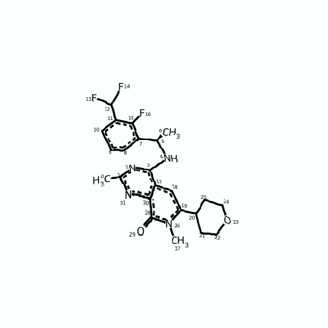 Cc1nc(N[C@H](C)c2cccc(C(F)F)c2F)c2cc(C3CCOCC3)n(C)c(=O)c2n1